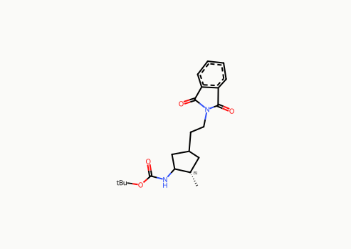 C[C@H]1CC(CCN2C(=O)c3ccccc3C2=O)CC1NC(=O)OC(C)(C)C